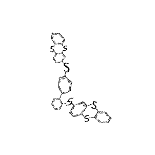 c1ccc2c(c1)Sc1ccc(Sc3ccc(-c4ccccc4Sc4ccc5c(c4)Sc4ccccc4S5)cc3)cc1S2